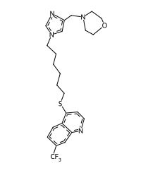 FC(F)(F)c1ccc2c(SCCCCCCn3cnc(CN4CCOCC4)c3)ccnc2c1